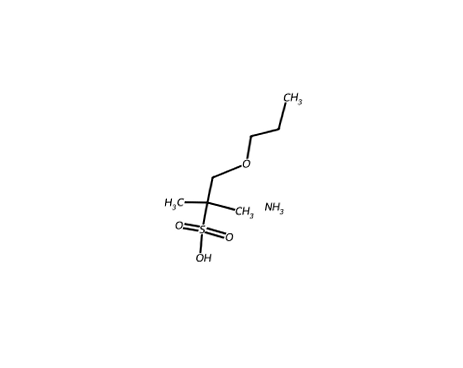 CCCOCC(C)(C)S(=O)(=O)O.N